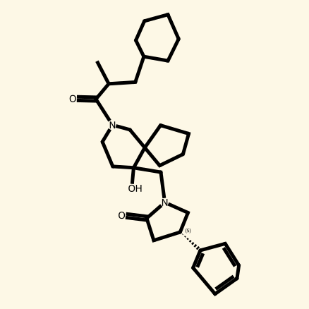 CC(CC1CCCCC1)C(=O)N1CCC(O)(CN2C[C@H](c3ccccc3)CC2=O)C2(CCCC2)C1